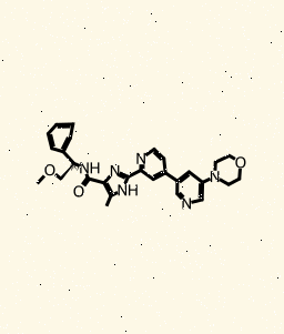 COC[C@H](NC(=O)c1nc(-c2cc(-c3cncc(N4CCOCC4)c3)ccn2)[nH]c1C)c1ccccc1